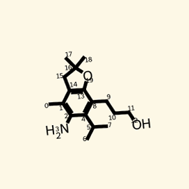 Cc1c(N)c(C(C)C)c(CCCO)c2c1CC(C)(C)O2